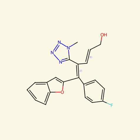 Cn1nnnc1C(/C=C/CO)=C(/c1ccc(F)cc1)c1cc2ccccc2o1